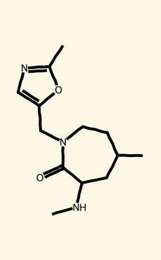 CNC1CC(C)CCN(Cc2cnc(C)o2)C1=O